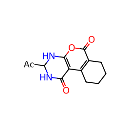 CC(=O)C1NC(=O)c2c(oc(=O)c3c2CCCC3)N1